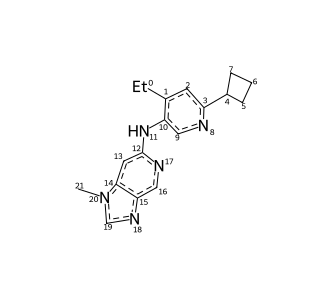 CCc1cc(C2CCC2)ncc1Nc1cc2c(cn1)ncn2C